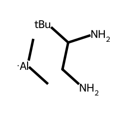 CC(C)(C)C(N)CN.[CH3][Al][CH3]